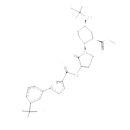 COC(=O)[C@@H]1C[C@H](NC(C)(C)C)CC[C@@H]1N1CCC(NC(=O)c2ccc(-c3cccc(C(F)(F)F)c3)o2)C1=O